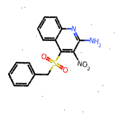 Nc1nc2ccccc2c(S(=O)(=O)Cc2ccccc2)c1[N+](=O)[O-]